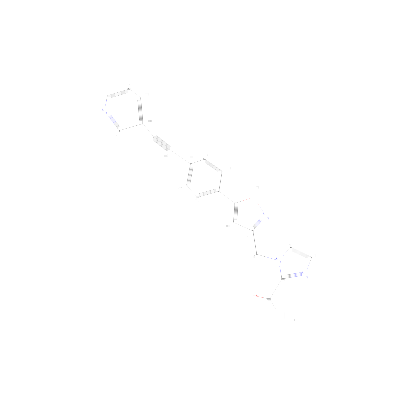 CC(O)c1nccn1Cc1cc(-c2ccc(C#Cc3cccnc3)cc2)on1